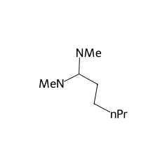 CCCCCC(NC)NC